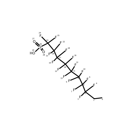 CCC(F)(F)C(F)(F)C(F)(F)C(F)(F)C(F)(F)C(F)(F)C(F)(F)C(F)(F)S(=O)(=O)O